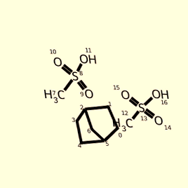 C1CC2CCC1C2.CS(=O)(=O)O.CS(=O)(=O)O